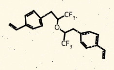 C=Cc1ccc(CC(OC(Cc2ccc(C=C)cc2)C(F)(F)F)C(F)(F)F)cc1